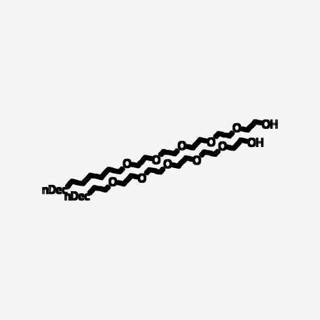 CCCCCCCCCCCCCCCCOCCOCCOCCOCCOCCO.CCCCCCCCCCCCOCCOCCOCCOCCOCCO